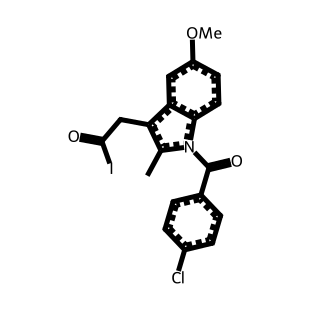 COc1ccc2c(c1)c(CC(=O)I)c(C)n2C(=O)c1ccc(Cl)cc1